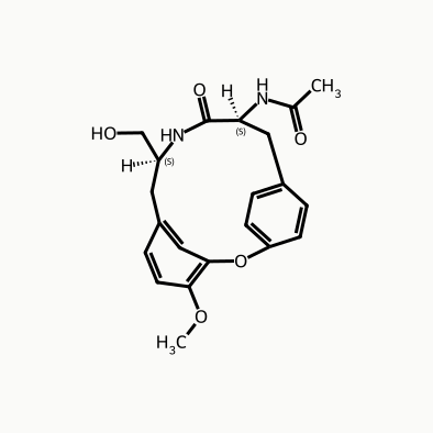 COc1ccc2cc1Oc1ccc(cc1)C[C@H](NC(C)=O)C(=O)N[C@H](CO)C2